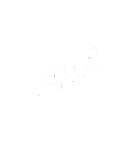 CCC(C)(C)COc1cccc2c1C(=O)N(Cc1ccc(-c3cn(C)cc3C)cc1F)C2